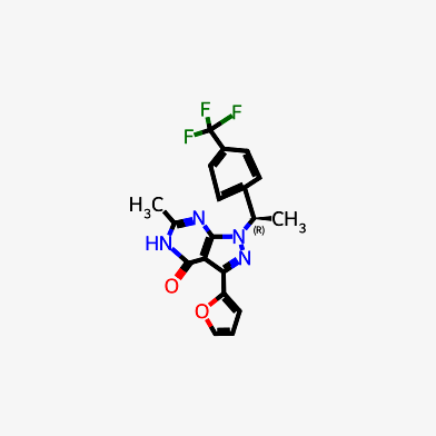 Cc1nc2c(c(-c3ccco3)nn2[C@H](C)c2ccc(C(F)(F)F)cc2)c(=O)[nH]1